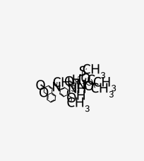 COc1ccc(N(C)c2cc(=O)oc3ccccc23)cc1NC(=O)[C@H](CCSC)NC(=O)OC(C)(C)C